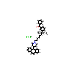 CC(C#N)(CCCCCCN1CCC(=C2c3ccccc3C=Cc3ccccc32)CC1)c1cccc(C(=O)c2ccccc2)c1.Cl